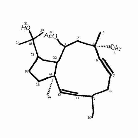 CC(=O)OC1C[C@](C)(OC(C)=O)/C=C/CC(C)/C=C/[C@@]2(C)CCC(C(C)(C)O)C12